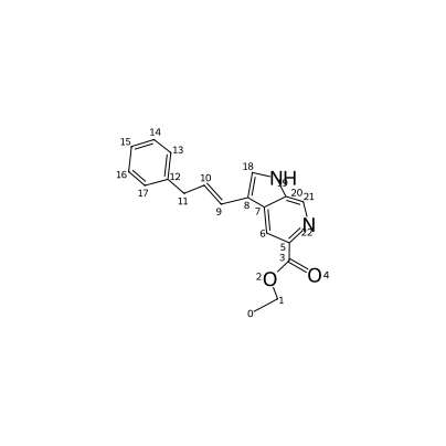 CCOC(=O)c1cc2c(C=CCc3ccccc3)c[nH]c2cn1